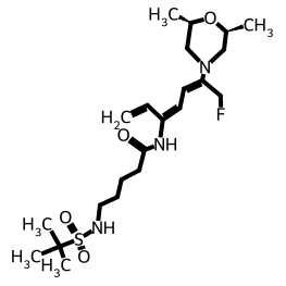 C=C/C(=C\C=C(/CF)N1C[C@@H](C)O[C@@H](C)C1)NC(=O)CCCCNS(=O)(=O)C(C)(C)C